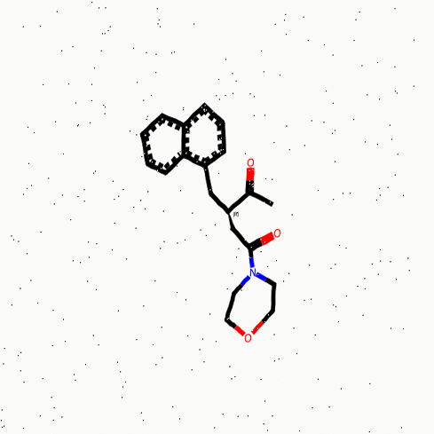 CC(=O)[C@@H](CC(=O)N1CCOCC1)Cc1cccc2ccccc12